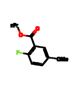 CCCOC(=O)c1cc(OC)ccc1F